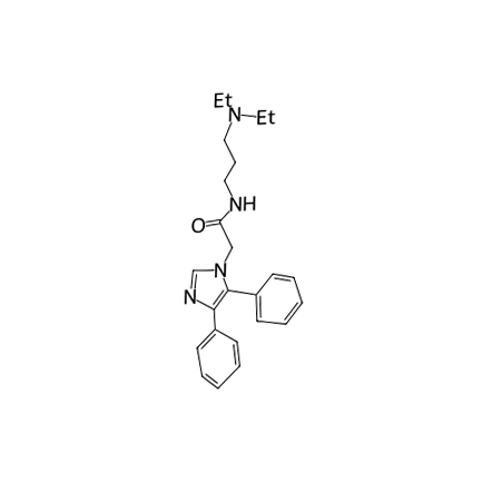 CCN(CC)CCCNC(=O)Cn1cnc(-c2ccccc2)c1-c1ccccc1